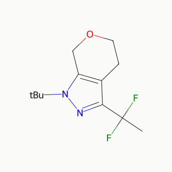 CC(F)(F)c1nn(C(C)(C)C)c2c1CCOC2